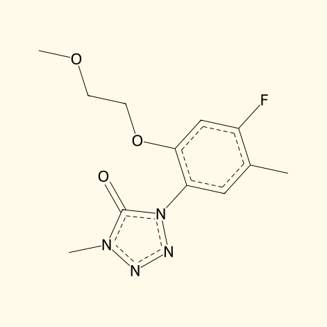 COCCOc1cc(F)c(C)cc1-n1nnn(C)c1=O